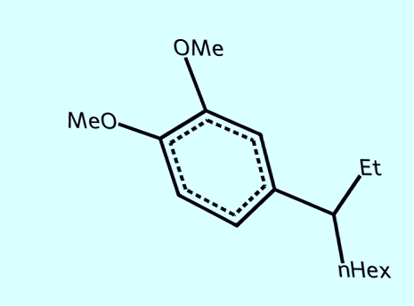 CCCCCCC(CC)c1ccc(OC)c(OC)c1